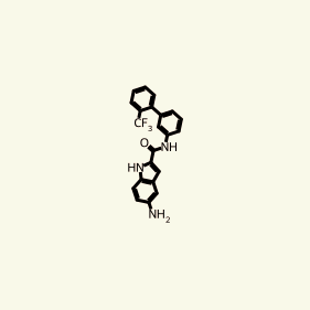 Nc1ccc2[nH]c(C(=O)Nc3cccc(-c4ccccc4C(F)(F)F)c3)cc2c1